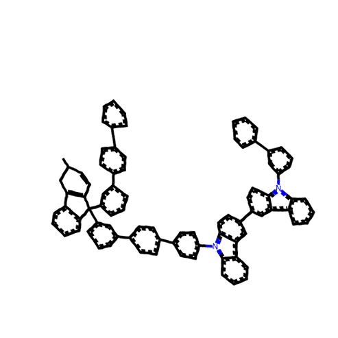 CC1C=CC2=C(C1)c1ccccc1C2(c1cccc(-c2ccc(-c3ccccc3)cc2)c1)c1cccc(-c2ccc(-c3ccc(-n4c5ccccc5c5cc(-c6ccc7c(c6)c6ccccc6n7-c6cccc(-c7ccccc7)c6)ccc54)cc3)cc2)c1